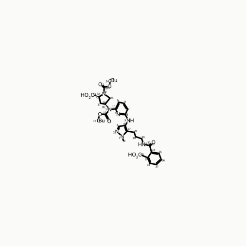 Cn1ncc(Nc2cccc(N(C(=O)OC(C)(C)C)[C@H]3C[C@@H](C(=O)O)N(C(=O)OC(C)(C)C)C3)n2)c1CCCNC(=O)c1ccccc1C(=O)O